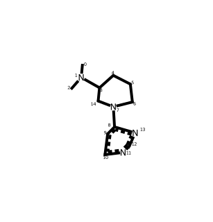 CN(C)C1CCCN(c2ccn[c]n2)C1